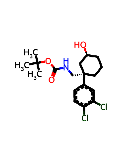 CC(C)(C)OC(=O)NC[C@@]1(c2ccc(Cl)c(Cl)c2)CCC[C@H](O)C1